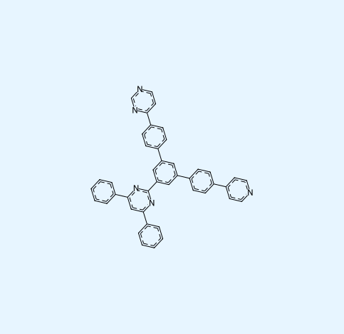 c1ccc(-c2cc(-c3ccccc3)nc(-c3cc(-c4ccc(-c5ccncc5)cc4)cc(-c4ccc(-c5ccncn5)cc4)c3)n2)cc1